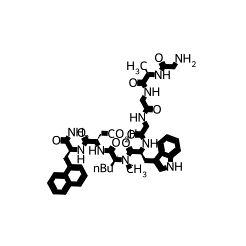 CCCC[C@@H](C(=O)N[C@@H](CC(=O)O)C(=O)N[C@@H](Cc1cccc2ccccc12)C(N)=O)N(C)C(=O)[C@H](Cc1c[nH]c2ccccc12)NC(=O)CNC(=O)CNC(=O)[C@H](C)NC(=O)CN